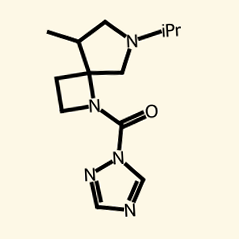 CC(C)N1CC(C)C2(CCN2C(=O)n2cncn2)C1